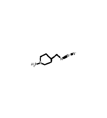 [N-]=[N+]=NCC1CCN(P)CC1